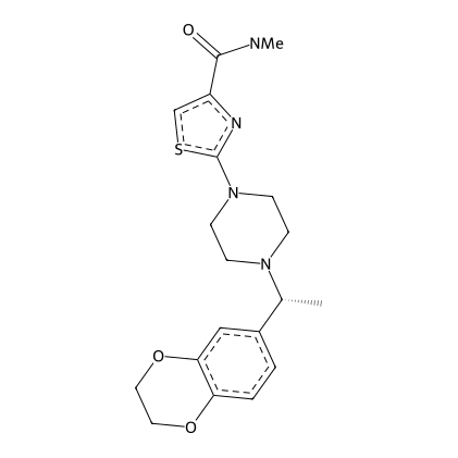 CNC(=O)c1csc(N2CCN([C@H](C)c3ccc4c(c3)OCCO4)CC2)n1